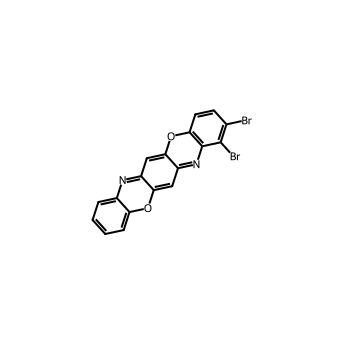 Brc1ccc2c(c1Br)N=c1cc3c(cc1O2)=Nc1ccccc1O3